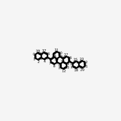 c1ccc2cc(-c3ccc4c5cccc6c(-c7ccc8ccccc8c7)ccc(c7cccc3c74)c65)ccc2c1